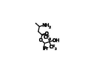 CC(N)CC(=O)OC(C(C)C)C(O)(C(F)(F)F)C(F)(F)F